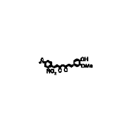 COc1cc(/C=C/C(=O)CC(=O)/C=C/c2ccc(N(C)C)cc2[N+](=O)[O-])ccc1O